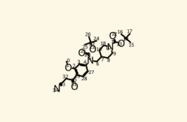 COc1cc(N(CC2CCN(C(=O)OC(C)(C)C)CC2)C(=O)OC(C)(C)C)ccc1C(=O)CC#N